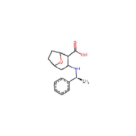 C[C@H](NC1CC2CCC(O2)C1C(=O)O)c1ccccc1